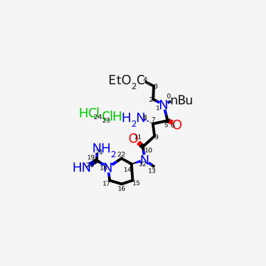 CCCCN(CCC(=O)OCC)C(=O)[C@@H](N)CC(=O)N(C)[C@H]1CCCN(C(=N)N)C1.Cl.Cl